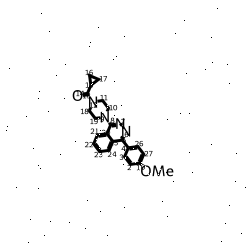 COc1ccc(-c2nnc(N3CCN(C(=O)C4CC4)CC3)c3ccccc23)cc1